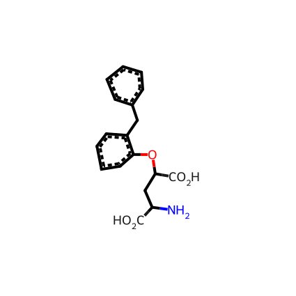 NC(CC(Oc1ccccc1Cc1ccccc1)C(=O)O)C(=O)O